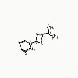 CC(C)N1CC(N2C=CC=C=N2)C1